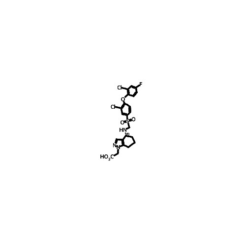 O=C(O)Cn1ncc2c1CCC[C@H]2NCS(=O)(=O)c1ccc(Oc2ccc(F)cc2Cl)c(Cl)c1